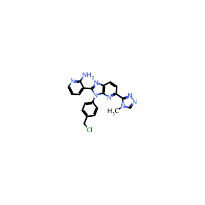 Cn1cnnc1-c1ccc2nc(-c3cccnc3N)n(-c3ccc(CCl)cc3)c2n1